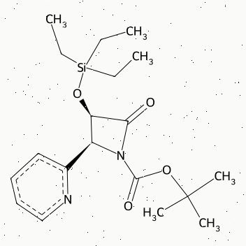 CC[Si](CC)(CC)O[C@H]1C(=O)N(C(=O)OC(C)(C)C)[C@H]1c1ccccn1